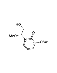 COc1cccn(C(CO)OC)c1=O